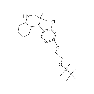 CC1(C)CNC2CCCCC2N1c1ccc(OCCO[Si](C)(C)C(C)(C)C)cc1Cl